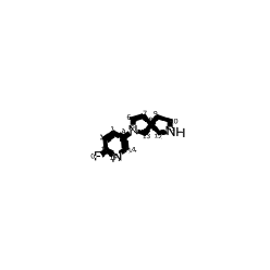 Fc1ccc(N2CCC3(CCNC3)C2)cn1